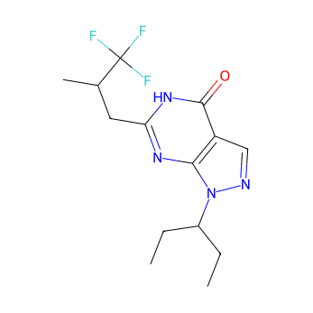 CCC(CC)n1ncc2c(=O)[nH]c(CC(C)C(F)(F)F)nc21